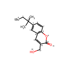 CC(C)(C)CC(C)(C)c1ccc2oc(=O)c(CO)cc2c1